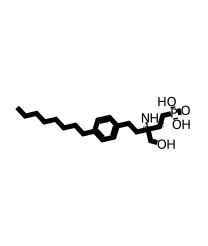 CCCCCCCCc1ccc(CC[C@](N)(CO)CCP(=O)(O)O)cc1